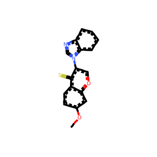 COc1ccc2c(=S)c(-n3cnc4ccccc43)coc2c1